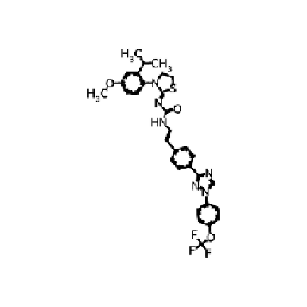 COc1ccc(N2CCS/C2=N\C(=O)N/C=C/c2ccc(-c3ncn(-c4ccc(OC(F)(F)F)cc4)n3)cc2)c(C(C)C)c1